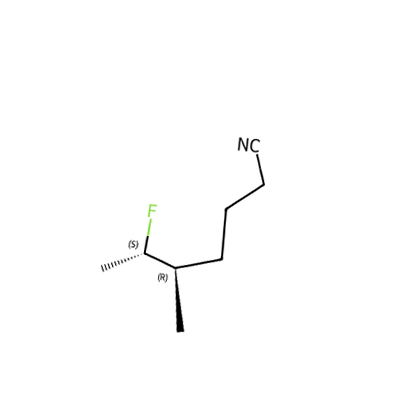 C[C@H](F)[C@H](C)CCCC#N